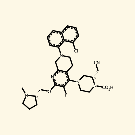 CN1CCC[C@H]1COc1nc2c(c(N3CCN(C(=O)O)[C@@H](CC#N)C3)c1F)CCN(c1cccc3cccc(Cl)c13)C2